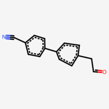 N#Cc1ccc(-c2ccc(CC=O)cc2)cc1